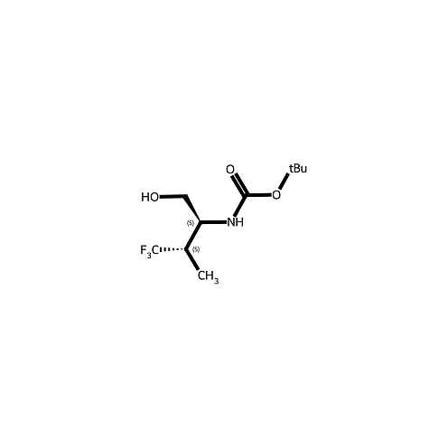 C[C@@H]([C@@H](CO)NC(=O)OC(C)(C)C)C(F)(F)F